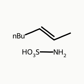 CC=CCCCC.NS(=O)(=O)O